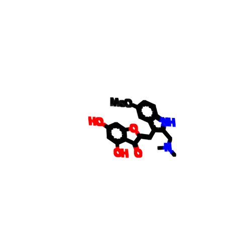 COc1ccc2[nH]c(CN(C)C)c(C=C3Oc4cc(O)cc(O)c4C3=O)c2c1